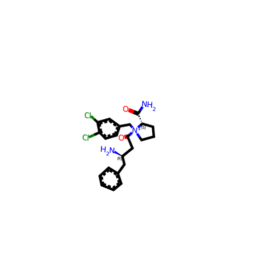 NC(=O)[C@@H]1CCC[N+]1(Cc1ccc(Cl)c(Cl)c1)C(=O)C[C@H](N)Cc1ccccc1